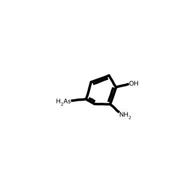 Nc1cc([AsH2])ccc1O